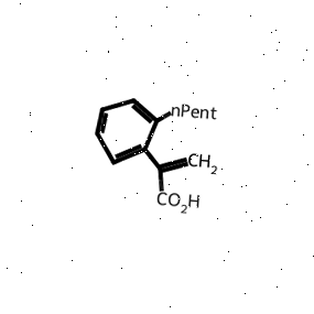 C=C(C(=O)O)c1ccccc1CCCCC